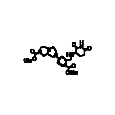 COC(=O)c1ccc(N2CCN3CCN(C(=O)OC(C)(C)C)CC3C2)cc1CNC1CCC(=O)NC1=O